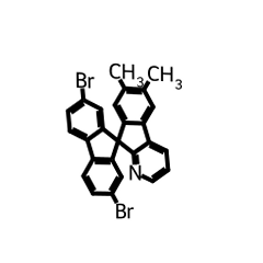 Cc1cc2c(cc1C)C1(c3cc(Br)ccc3-c3ccc(Br)cc31)c1ncccc1-2